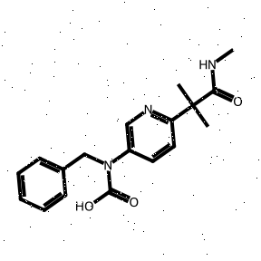 CNC(=O)C(C)(C)c1ccc(N(Cc2ccccc2)C(=O)O)cn1